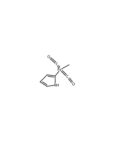 [CH3][Fe](=[C]=O)(=[C]=O)[c]1ccc[nH]1